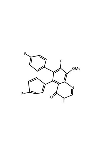 COc1c(F)c(-c2ccc(F)cc2)c(-c2ccc(F)cc2)c2c(=O)[nH]cnc12